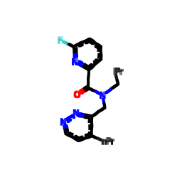 CCCc1ccnnc1CN(CC(C)C)C(=O)c1cccc(F)n1